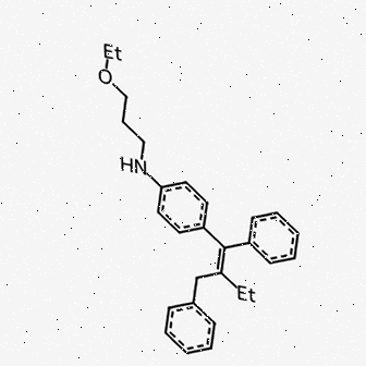 CCOCCCNc1ccc(C(=C(CC)Cc2ccccc2)c2ccccc2)cc1